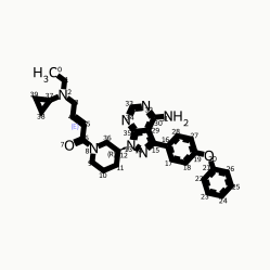 CCN(C/C=C/C(=O)N1CCC[C@@H](n2nc(-c3ccc(Oc4ccccc4)cc3)c3c(N)ncnc32)C1)C1CC1